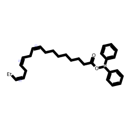 CC/C=C\C/C=C\C/C=C\CCCCCCCC(=O)O[I+](c1ccccc1)c1ccccc1